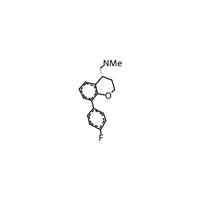 CNC[C@@H]1CCOc2c(-c3ccc(F)cc3)cccc21